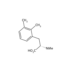 CN[C@@H](Cc1cccc(C)c1C)C(=O)O